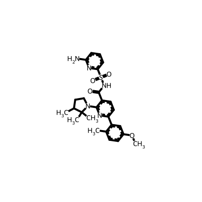 COc1ccc(C)c(-c2ccc(C(=O)NS(=O)(=O)c3cccc(N)n3)c(N3CCC(C)C3(C)C)n2)c1